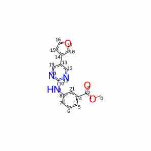 COC(=O)c1cccc(Nc2ncc(-c3ccoc3)cn2)c1